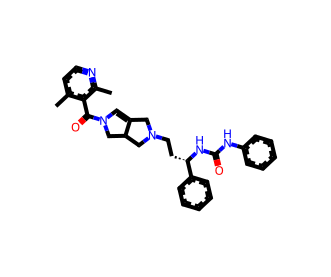 Cc1ccnc(C)c1C(=O)N1C=C2CN(CC[C@H](NC(=O)Nc3ccccc3)c3ccccc3)CC2C1